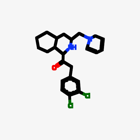 O=C(Cc1ccc(Cl)c(Cl)c1)C1NC(CN2C=CC=CC2)CC2CCCCC21